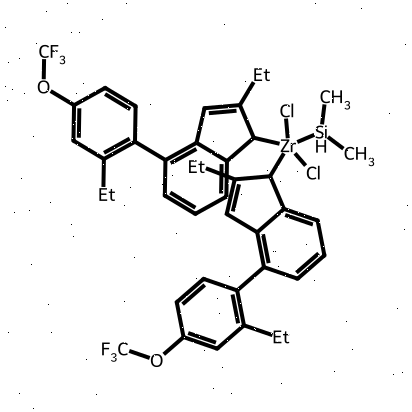 CCC1=Cc2c(-c3ccc(OC(F)(F)F)cc3CC)cccc2[CH]1[Zr]([Cl])([Cl])([CH]1C(CC)=Cc2c(-c3ccc(OC(F)(F)F)cc3CC)cccc21)[SiH](C)C